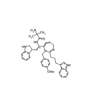 COc1ccc(CN2C([C@@H](CC3CNc4ccccc43)NC(=O)C(C)(C)N)=C=CCN=C2CCCc2c[nH]c3ccccc23)cc1